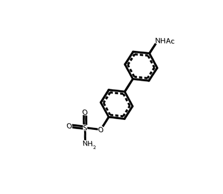 CC(=O)Nc1ccc(-c2ccc(OS(N)(=O)=O)cc2)cc1